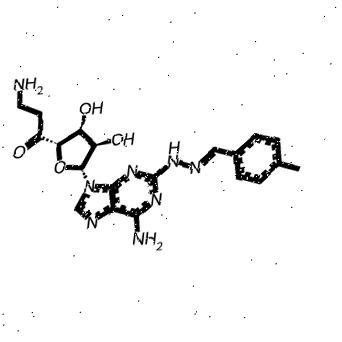 Cc1ccc(/C=N/Nc2nc(N)c3ncn([C@@H]4O[C@H](C(=O)CCN)[C@@H](O)[C@H]4O)c3n2)cc1